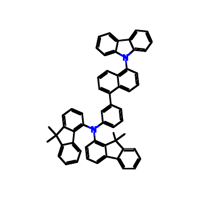 CC1(C)c2ccccc2-c2c(N(c3cccc(-c4cccc5c(-n6c7ccccc7c7ccccc76)cccc45)c3)c3cccc4c3C(C)(C)c3ccccc3-4)cccc21